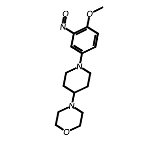 COc1ccc(N2CCC(N3CCOCC3)CC2)cc1N=O